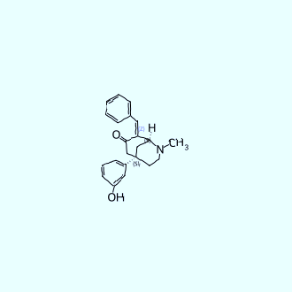 CN1CC[C@@]2(c3cccc(O)c3)CC(=O)/C(=C\c3ccccc3)[C@@H]1C2